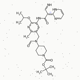 Cc1nc(OC(C)C)c(NC(=O)/C(C=N)=C2\N=CC=CN2)cc1CN(C=O)C1CCN(C(=O)OC(C)(C)C)CC1